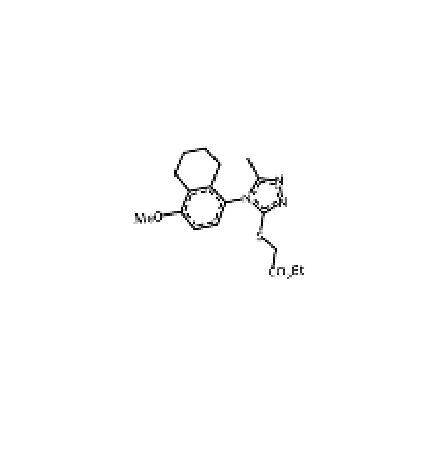 CCOC(=O)CSc1nnc(C)n1-c1ccc(OC)c2c1CCCC2